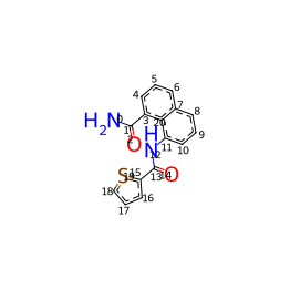 NC(=O)c1cccc2cccc(NC(=O)c3cccs3)c12